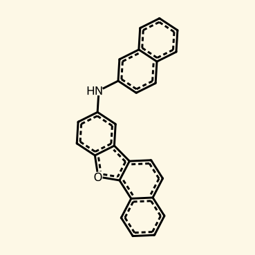 c1ccc2cc(Nc3ccc4oc5c6ccccc6ccc5c4c3)ccc2c1